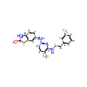 O=C1Cc2cc(Nc3ncc(Br)c(NCCc4cccc(F)c4)n3)ccc2N1